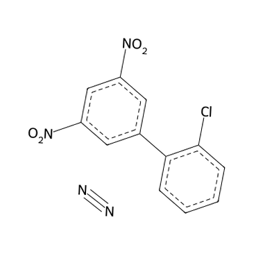 N#N.O=[N+]([O-])c1cc(-c2ccccc2Cl)cc([N+](=O)[O-])c1